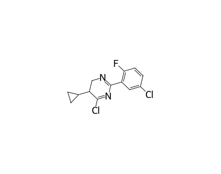 Fc1ccc(Cl)cc1C1=NCC(C2CC2)C(Cl)=N1